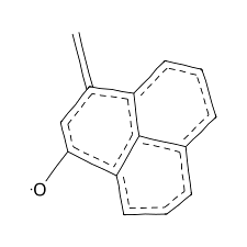 C=c1cc([O])c2cccc3cccc1c32